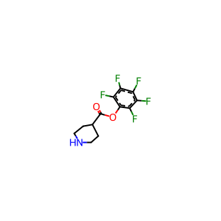 O=C(Oc1c(F)c(F)c(F)c(F)c1F)C1CCNCC1